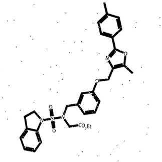 CCOC(=O)CN(Cc1cccc(OCc2nc(-c3ccc(C)cc3)oc2C)c1)S(=O)(=O)N1CCc2ccccc21